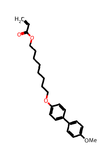 C=CC(=O)OCCCCCCCCOc1ccc(-c2ccc(OC)cc2)cc1